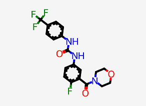 O=C(Nc1ccc(C(F)(F)F)cc1)Nc1ccc(F)c(C(=O)N2CCOCC2)c1